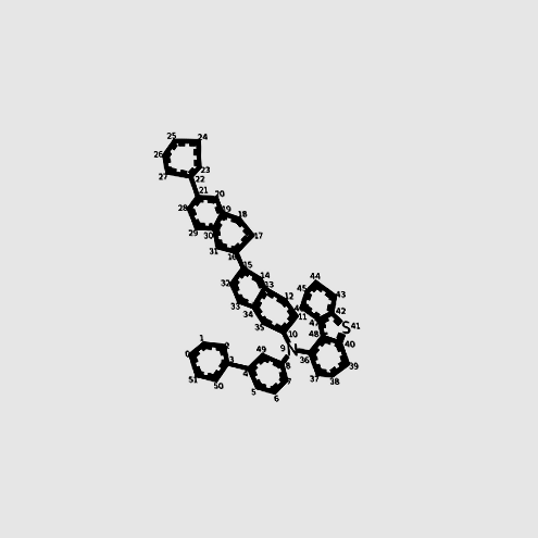 c1ccc(-c2cccc(N(c3ccc4cc(-c5ccc6cc(-c7ccccc7)ccc6c5)ccc4c3)c3cccc4sc5ccccc5c34)c2)cc1